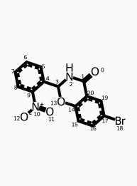 O=C1NC(c2ccccc2[N+](=O)[O-])Oc2ccc(Br)cc21